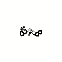 CN[C@H](Cc1ccc2ccccc2c1)C(=O)N(C)[C@H](CNS(C)(=O)=O)Cc1ccccc1